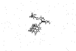 C=C(C)C(=O)O.CCCC[O-].CCCC[O-].CCCC[O-].CCCC[O-].[Zr+4]